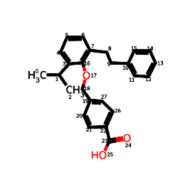 CC(C)c1cccc(CCc2ccccc2)c1OCc1ccc(C(=O)O)cc1